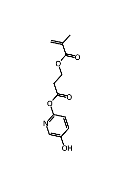 C=C(C)C(=O)OCCC(=O)Oc1ccc(O)cn1